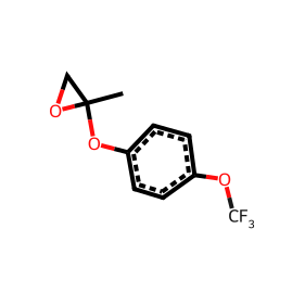 CC1(Oc2ccc(OC(F)(F)F)cc2)CO1